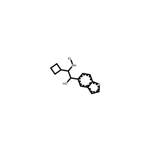 CCNC(C1CCC1)C(O)c1ccc2sccc2c1